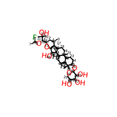 C[C@@H]1C[C@H]([C@H](O[C@@H](C)F)C(C)(C)O)OC2=C1[C@@]1(C)CC[C@@]34C[C@@]35CC[C@H](O[C@@H]3OC[C@@H](O)[C@H](O)[C@H]3O)C(C)(C)[C@@H]5CC[C@H]4[C@]1(C)[C@H]2O